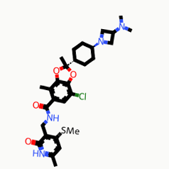 CSc1cc(C)[nH]c(=O)c1CNC(=O)c1cc(Cl)c2c(c1C)OC(C)([C@H]1CC[C@H](N3CC(N(C)C)C3)CC1)O2